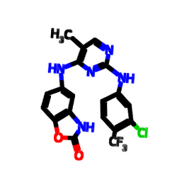 Cc1cnc(Nc2ccc(C(F)(F)F)c(Cl)c2)nc1Nc1ccc2oc(=O)[nH]c2c1